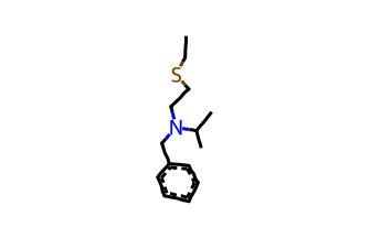 CCSCCN(Cc1ccccc1)C(C)C